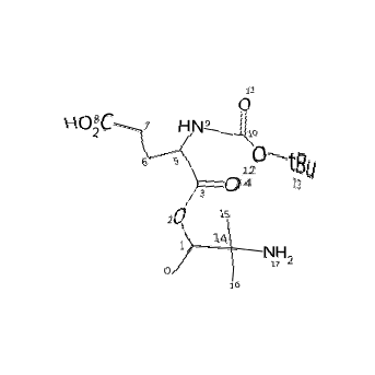 CC(OC(=O)C(CCC(=O)O)NC(=O)OC(C)(C)C)C(C)(C)N